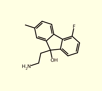 Cc1ccc2c(c1)C(O)(CCN)c1cccc(F)c1-2